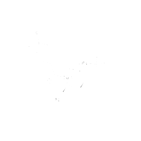 N#C[C@H](C[C@@H]1CCC2(CC2)NC1=O)NC(=O)CCC1CC1(F)F